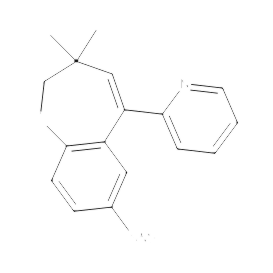 CSc1ccc2c(c1)C(c1ccccn1)=CC(C)(C)CO2